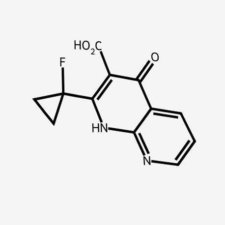 O=C(O)c1c(C2(F)CC2)[nH]c2ncccc2c1=O